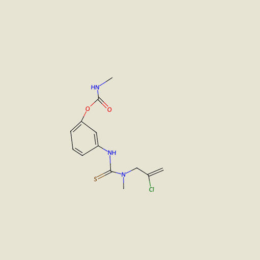 C=C(Cl)CN(C)C(=S)Nc1cccc(OC(=O)NC)c1